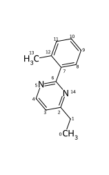 CCc1ccnc(-c2ccccc2C)n1